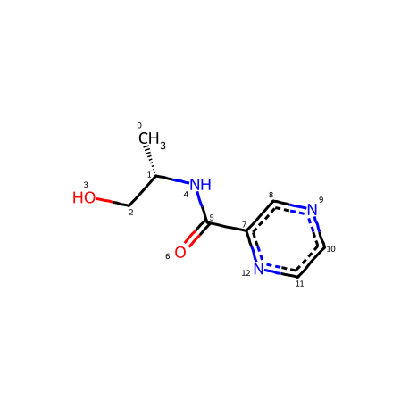 C[C@@H](CO)NC(=O)c1cnccn1